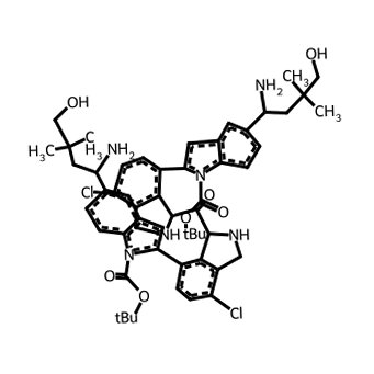 CC(C)(CO)CC(N)c1ccc2c(c1)cc(-c1ccc(Cl)c3c1C(C(=O)C1NCc4c(Cl)ccc(-c5cc6cc(C(N)CC(C)(C)CO)ccc6n5C(=O)OC(C)(C)C)c41)NC3)n2C(=O)OC(C)(C)C